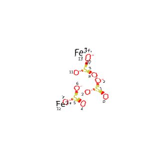 O=S([O-])[O-].O=S([O-])[O-].O=S([O-])[O-].[Fe+3].[Fe+3]